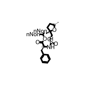 CCCCCCCCCC(CCCCCCCCC)OC(=O)[C@H](Cc1ccccc1)N[PH](=O)OC[C@]1(C)CC[C@H](C)O1